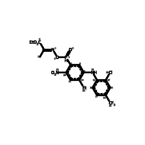 CCOC(=O)C(C)=NO[PH](=O)c1cc(Nc2ccc(C(F)(F)F)cc2Cl)c(CC)cc1[N+](=O)[O-]